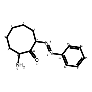 NC1CCCCCC(N=Nc2ccccc2)C1=O